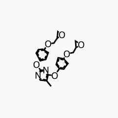 Cc1cnc(Oc2ccc(OCC3CO3)cc2)nc1Oc1ccc(OCC2CO2)cc1